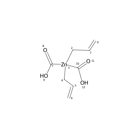 C=C[CH2][Zn]([CH2]C=C)([C](=O)O)[C](=O)O